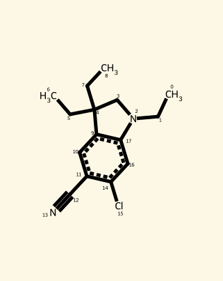 CCN1CC(CC)(CC)c2cc(C#N)c(Cl)cc21